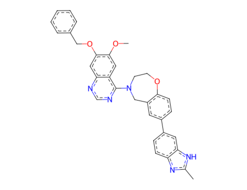 COc1cc2c(N3CCOc4ccc(-c5ccc6nc(C)[nH]c6c5)cc4C3)ncnc2cc1OCc1ccccc1